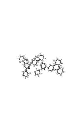 c1ccc(-c2nc(-c3ccc4c5ccccc5c5ccccc5c4c3)nc(-c3cccc4sc5cc(-c6nc(-c7ccccc7)nc7c6oc6ccccc67)ccc5c34)n2)cc1